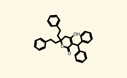 O=C1OC(CCc2ccccc2)(CCc2ccccc2)CC(O)=C1C(c1ccccc1)c1ccccc1